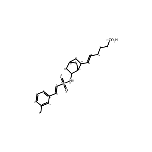 Cc1cccc(/C=C/S(=O)(=O)NC2CC3CC(/C=C/CCCC(=O)O)C2C3)c1